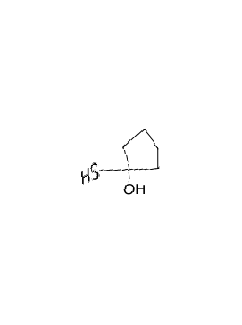 OC1(S)CCCC1